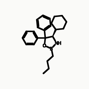 CCCCB1N[C@H](C2CCCCC2)C(c2ccccc2)(c2ccccc2)O1